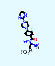 CCNC(CC(=O)O)NC(=O)c1ccc(N2CCN(c3ncccn3)CC2)c(F)c1